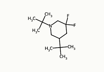 CC(C)(C)C1CN(C(C)(C)C)CC(F)(F)C1